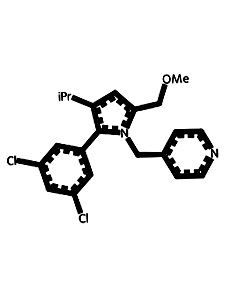 COCc1cc(C(C)C)c(-c2cc(Cl)cc(Cl)c2)n1Cc1ccncc1